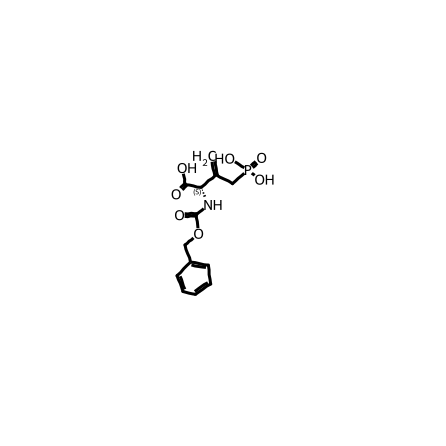 C=C(CP(=O)(O)O)[C@H](NC(=O)OCc1ccccc1)C(=O)O